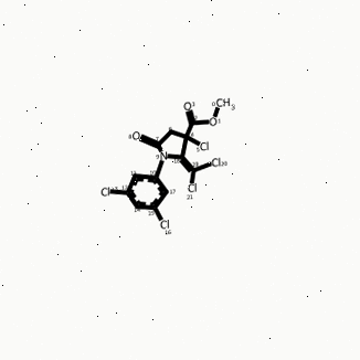 COC(=O)C1(Cl)CC(=O)N(c2cc(Cl)cc(Cl)c2)C1=C(Cl)Cl